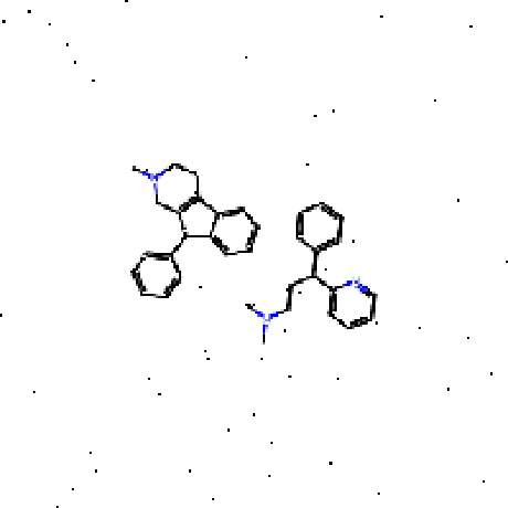 CN(C)CCC(c1ccccc1)c1ccccn1.CN1CCC2=C(C1)C(c1ccccc1)c1ccccc12